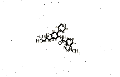 Cn1nnc2c(C(=O)Nc3cc4c(cc3N3CCOCC3)O[C@](C)(CO)C4)cncc21